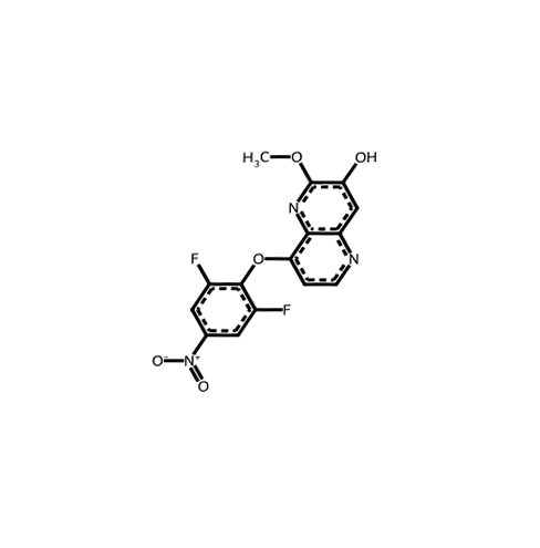 COc1nc2c(Oc3c(F)cc([N+](=O)[O-])cc3F)ccnc2cc1O